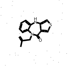 C=C(C)CN1C(=O)c2cscc2Nc2ccccc21